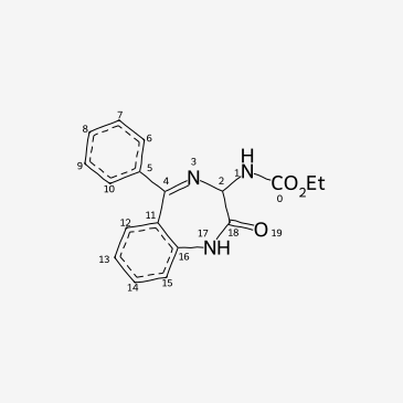 CCOC(=O)NC1N=C(c2ccccc2)c2ccccc2NC1=O